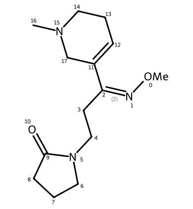 CO/N=C(/CCN1CCCC1=O)C1=CCCN(C)C1